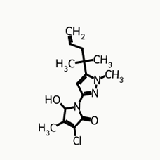 C=CCC(C)(C)c1cc(N2C(=O)C(Cl)=C(C)C2O)nn1C